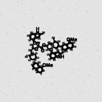 COc1cccc2ccc([C@H]3CCN(C[C@@H](COc4cccc5[nH]c(C)cc45)OC(=O)C(=O)O[C@H](COc4cccc5[nH]c(C)cc45)CN4CC[C@H](c5ccc6cccc(OC)c6c5)C[C@@H]4C)[C@@H](C)C3)cc12